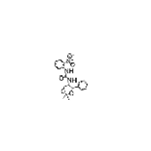 CC1(C)OC[C@H](NC(=O)Nc2ccccc2[N+](=O)[O-])[C@@H](c2ccccc2)O1